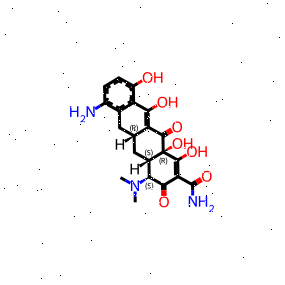 CN(C)[C@@H]1C(=O)C(C(N)=O)=C(O)[C@@]2(O)C(=O)C3=C(O)c4c(O)ccc(N)c4C[C@H]3C[C@@H]12